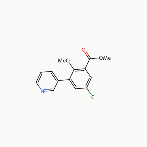 COC(=O)c1cc(Cl)cc(-c2cccnc2)c1OC